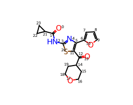 O=C(Nc1nc(-c2ccco2)c(C(=O)C2CCOCC2)s1)C1CC1